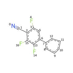 N#Cc1c(F)cc(-c2ccccc2)c(F)c1F